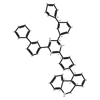 c1ccc(-c2cccc(-c3nc(-c4ccc(-c5cccc6c5-c5ccccc5OC6)cc4)nc(-c4cccc(-c5ccccc5)c4)n3)c2)cc1